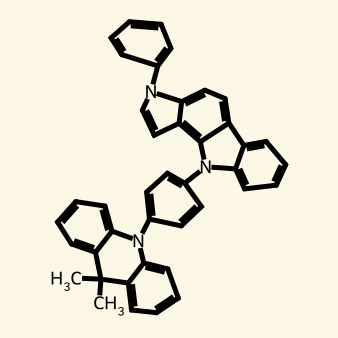 CC1(C)c2ccccc2N(c2ccc(-n3c4ccccc4c4ccc5c(ccn5-c5ccccc5)c43)cc2)c2ccccc21